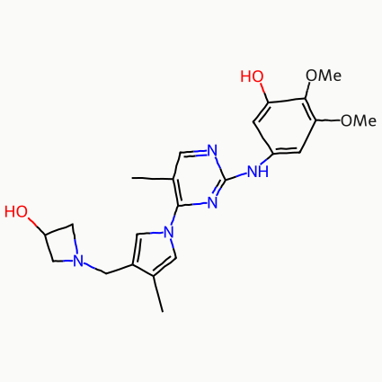 COc1cc(Nc2ncc(C)c(-n3cc(C)c(CN4CC(O)C4)c3)n2)cc(O)c1OC